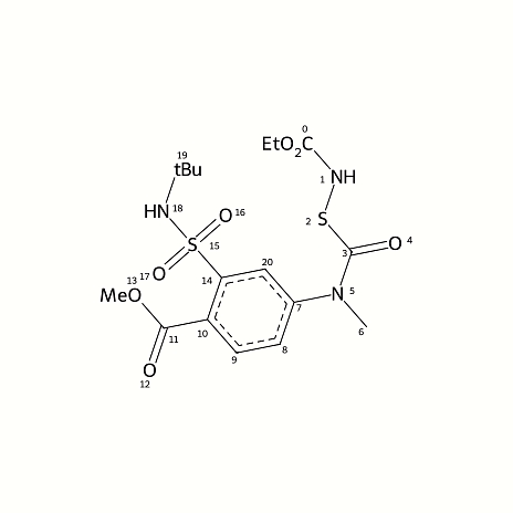 CCOC(=O)NSC(=O)N(C)c1ccc(C(=O)OC)c(S(=O)(=O)NC(C)(C)C)c1